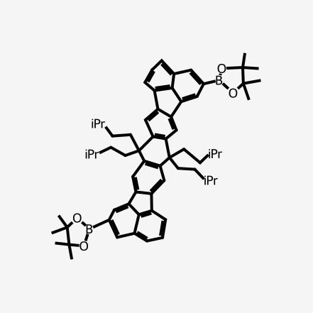 CC(C)CCC1(CCC(C)C)c2cc3c(cc2C(CCC(C)C)(CCC(C)C)c2cc4c(cc21)-c1cc(B2OC(C)(C)C(C)(C)O2)cc2cccc-4c12)-c1cc(B2OC(C)(C)C(C)(C)O2)cc2cccc-3c12